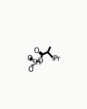 CC(C)C(C)C(=O)O[SH](=O)=O